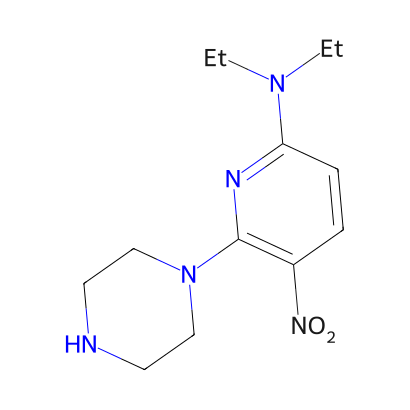 CCN(CC)c1ccc([N+](=O)[O-])c(N2CCNCC2)n1